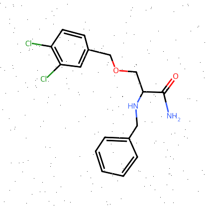 NC(=O)C(COCc1ccc(Cl)c(Cl)c1)NCc1ccccc1